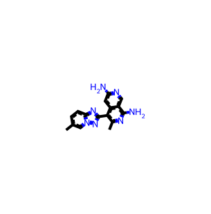 Cc1ccc2nc(-c3c(C)nc(N)c4cnc(N)cc34)nn2c1